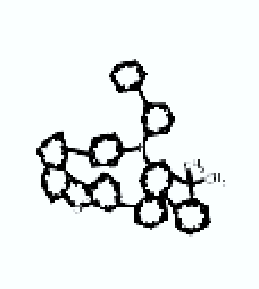 CC1(C)c2ccccc2-c2ccc(N(c3ccc(-c4cccc5ccc6oc7cc(-c8ccccc8)ccc7c6c45)cc3)c3cccc(-c4ccccc4)c3)cc21